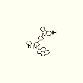 C1=Cc2c(c3ccccc3n2-c2ccc(-c3cc(-c4ccccn4)nc(-c4ccc5ccc6cccc7ccc4c5c67)c3)cc2)CN1